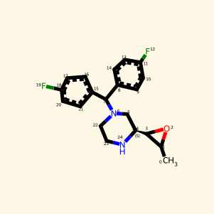 CC1OC1[C@@H]1CN(C(c2ccc(F)cc2)c2ccc(F)cc2)CCN1